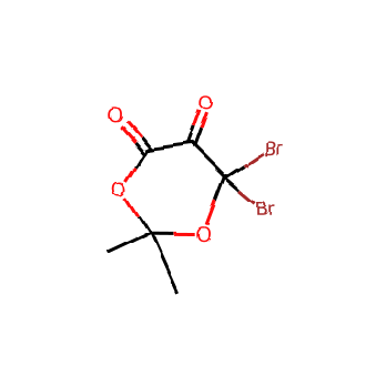 CC1(C)OC(=O)C(=O)C(Br)(Br)O1